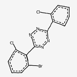 Clc1ccccc1-c1nnc(-c2c(Cl)cccc2Br)nn1